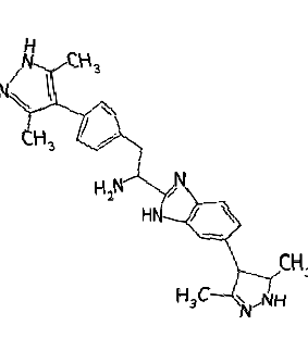 CC1=NNC(C)C1c1ccc2nc(C(N)Cc3ccc(-c4c(C)n[nH]c4C)cc3)[nH]c2c1